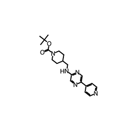 CC(C)(C)OC(=O)N1CCC(CNc2cnc(-c3ccncc3)cn2)CC1